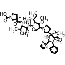 CC[C@H](C)[C@@H](CNC(=O)[C@@H](NC(=O)[C@]1(F)CCN(C(=O)O)C1)C(C)C)[C@@H](OC)C(C=O)N1CCC([C@](N[C@@H](Cc2ccccc2)c2nccs2)(OC)[C@H](C)C=O)C1